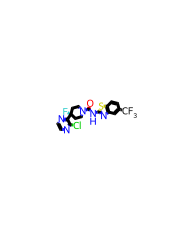 O=C(Nc1nc2cc(C(F)(F)F)ccc2s1)N1CCC(F)(c2nccnc2Cl)CC1